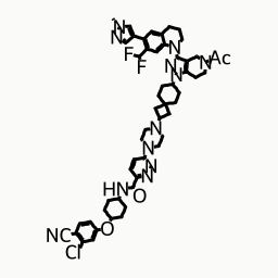 CC(=O)N1CCc2c(c(N3CCCc4cc(-c5cnn(C)c5)c(C(F)F)cc43)nn2C2CCC3(CC2)CC(N2CCN(c4ccc(C(=O)NC5CCC(Oc6ccc(C#N)c(Cl)c6)CC5)nn4)CC2)C3)C1